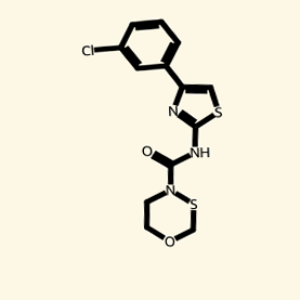 O=C(Nc1nc(-c2cccc(Cl)c2)cs1)N1CCOCS1